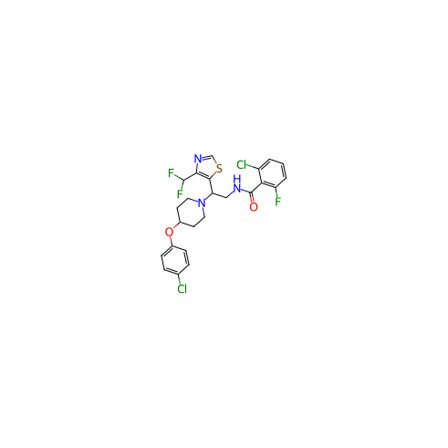 O=C(NCC(c1scnc1C(F)F)N1CCC(Oc2ccc(Cl)cc2)CC1)c1c(F)cccc1Cl